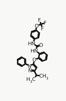 CC(C)c1cc(Oc2ccccc2NC(=O)Nc2ccc(OC(F)(F)F)cc2)n(-c2ccccc2)n1